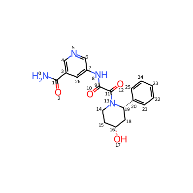 NC(=O)c1cncc(NC(=O)C(=O)N2CC[C@@H](O)C[C@H]2c2ccccc2)c1